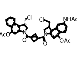 CC(=O)Nc1ccc2c(OC(C)=O)cc3c(c2c1)C(CCl)CN3C(=O)C12CC(C(=O)N3C[C@@H](CCl)c4c3cc(OC(C)=O)c3ccccc43)(C1)C2